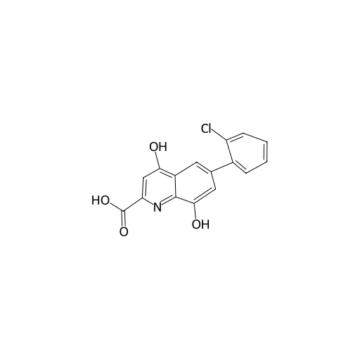 O=C(O)c1cc(O)c2cc(-c3ccccc3Cl)cc(O)c2n1